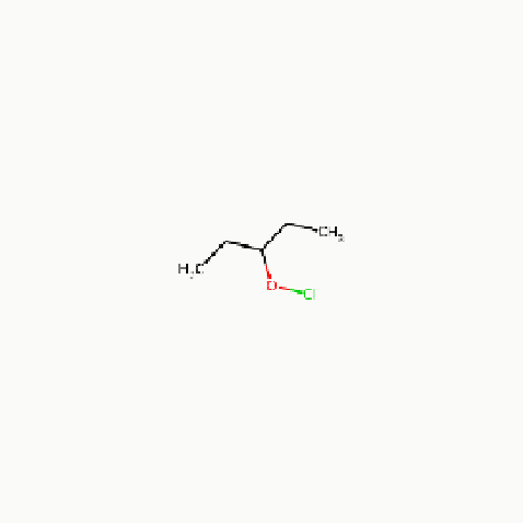 CCC(CC)OCl